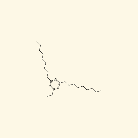 C[CH]c1cc(CCCCCCCCC)nc(CCCCCCCCC)c1